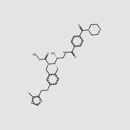 Cc1ncoc1COc1ccc2c(c1)CN(C(=O)OC(C)(C)C)[C@H]([C@H](O)CNC(=O)c1ccc(C(=O)N3CCOCC3)cc1)C2